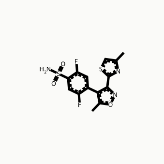 Cc1csc(-c2noc(C)c2-c2cc(F)c(S(N)(=O)=O)cc2F)n1